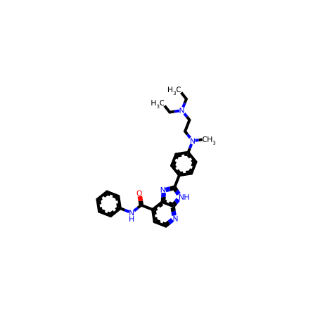 CCN(CC)CCN(C)c1ccc(-c2nc3c(C(=O)Nc4ccccc4)ccnc3[nH]2)cc1